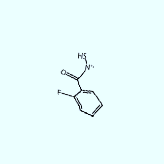 O=C([N+]S)c1ccccc1F